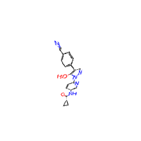 N#Cc1ccc(-c2cnn(-c3ccc(NC(=O)C4CC4)cn3)c2O)cc1